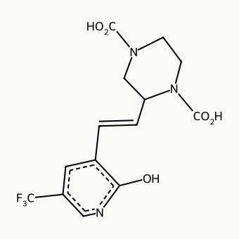 O=C(O)N1CCN(C(=O)O)C(C=Cc2cc(C(F)(F)F)cnc2O)C1